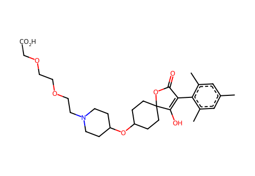 Cc1cc(C)c(C2=C(O)C3(CCC(OC4CCN(CCOCCOCC(=O)O)CC4)CC3)OC2=O)c(C)c1